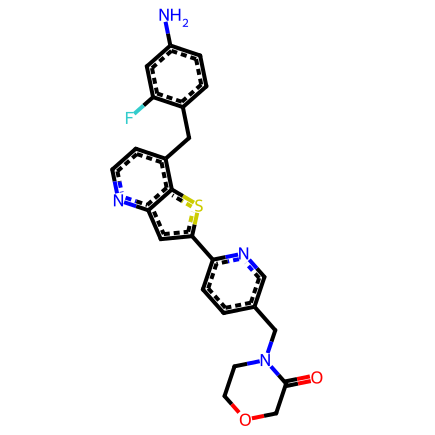 Nc1ccc(Cc2ccnc3cc(-c4ccc(CN5CCOCC5=O)cn4)sc23)c(F)c1